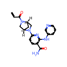 C=CC(=O)N1C[C@@H]2C[C@H]1CN2c1ccc(C(N)=O)c(Nc2cccnc2)n1